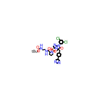 CC(C)(C)OC(=O)NCCNC(=O)C1CCCN1S(=O)(=O)c1cnc2n1C(C)(Cc1ccc(-c3cncnc3)cc1)C(=O)N2c1cc(Cl)cc(Cl)c1